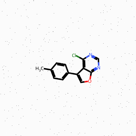 Cc1ccc(-c2coc3ncnc(Cl)c23)cc1